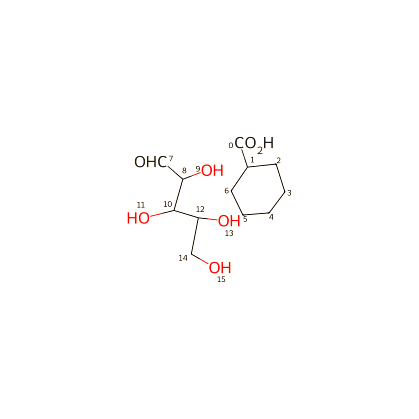 O=C(O)C1CCCCC1.O=CC(O)C(O)C(O)CO